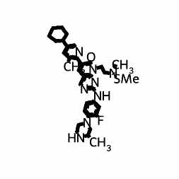 CSN(C)CCn1c(=O)c(-c2ncc(C3CCCCC3)cc2C)cc2cnc(Nc3ccc(N4CCNC(C)C4)c(F)c3)nc21